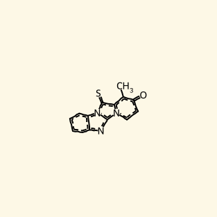 Cc1c(=O)ccn2c1c(=S)n1c3ccccc3nc21